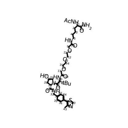 CC(=O)NC(CCCCNC(=O)COCCOCCOCC(=O)N[C@H](C(=O)N1C[C@H](O)C[C@H]1C(=O)NCc1ccc(-c2scnc2C)cc1)C(C)(C)C)C(N)=O